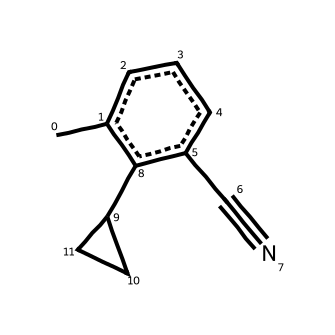 Cc1cccc(C#N)c1C1CC1